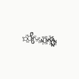 O=C1CC2(CCCC2)CC(=O)N1CCCCN1CCN(c2csc3ncncc23)CC1